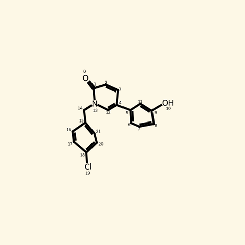 O=c1ccc(-c2cccc(O)c2)cn1Cc1ccc(Cl)cc1